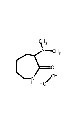 CN(C)C1CCCCNC1=O.CO